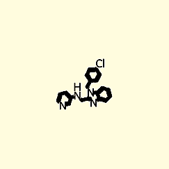 Clc1ccc(Cn2c(CNc3cccnc3)nc3ccccc32)cc1